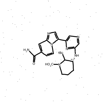 CC(C)(C)C1[C@H](Nc2cncc(-c3cnc4cc(C(N)=O)ccn34)n2)CCCN1C(=O)O